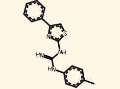 Cc1ccc(NC(=N)Nc2nc(-c3ccccc3)cs2)cc1